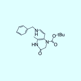 CC1=C(/C=C\NCc2ccccc2)N(C(=O)OC(C)(C)C)CC(=O)N1